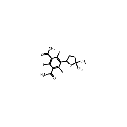 CC1(C)OCC(c2c(I)c(C(N)=O)c(I)c(C(N)=O)c2I)O1